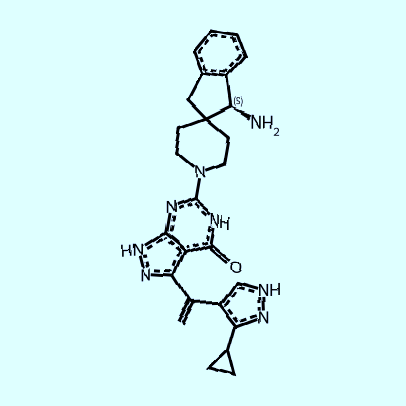 C=C(c1c[nH]nc1C1CC1)c1n[nH]c2nc(N3CCC4(CC3)Cc3ccccc3[C@H]4N)[nH]c(=O)c12